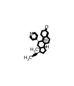 CC#C[C@@H]1CC[C@H]2[C@@H]3CCC4=CC(=O)CCC4=C3[C@@H](c3ccncc3)C[C@]12C